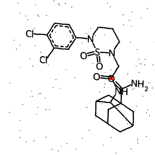 NC(=O)C12CC3CC(C1)C(NC(=O)CN1CCCN(c4ccc(Cl)c(Cl)c4)S1(=O)=O)C(C3)C2